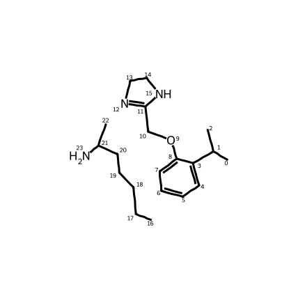 CC(C)c1ccccc1OCC1=NCCN1.CCCCCC(C)N